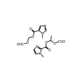 CC(OC=O)OC(=O)c1nccn1C.Cn1cncc1C(=O)OCOC=O